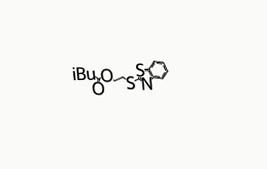 CCC(C)C(=O)OCCSc1nc2ccccc2s1